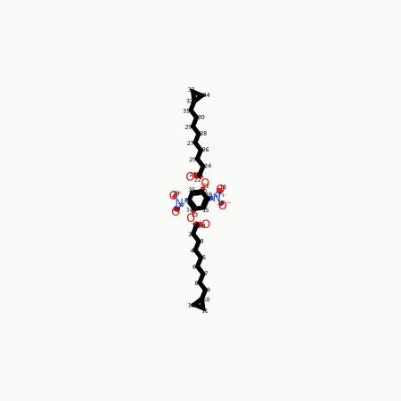 O=C(CCCCCCCCC1CC1)Oc1cc([N+](=O)[O-])c(OC(=O)CCCCCCCCC2CC2)cc1[N+](=O)[O-]